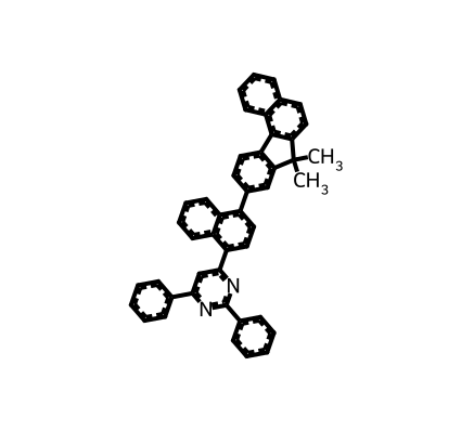 CC1(C)c2cc(-c3ccc(-c4cc(-c5ccccc5)nc(-c5ccccc5)n4)c4ccccc34)ccc2-c2c1ccc1ccccc21